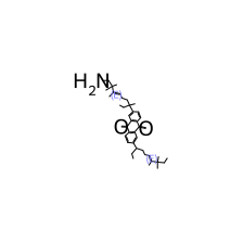 CCC(CC/C=C(\C)C(C)(C)CC)c1ccc2c(c1)C(=O)c1ccc(C(C)(CC)CC/C=C(\C)C(C)(C)CN)cc1C2=O